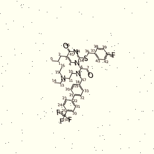 CCCc1cn(C(C=O)N(CCN(CC)CC)Cc2ccc(-c3ccc(C(F)(F)F)cc3)cc2)c(SCc2ccc(F)cc2)nc1=O